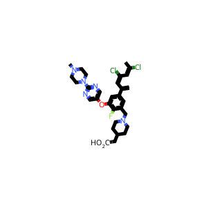 C=C(/C=C(Cl)\C=C(/C)Cl)c1cc(CN2CCC(CC(=O)O)CC2)c(F)c(Oc2cnc(N3CCN(C)CC3)nc2)c1